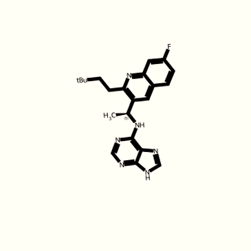 C[C@H](Nc1ncnc2[nH]cnc12)c1cc2ccc(F)cc2nc1CCC(C)(C)C